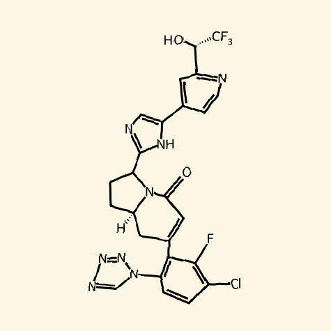 O=C1C=C(c2c(-n3cnnn3)ccc(Cl)c2F)C[C@H]2CCC(c3ncc(-c4ccnc([C@H](O)C(F)(F)F)c4)[nH]3)N12